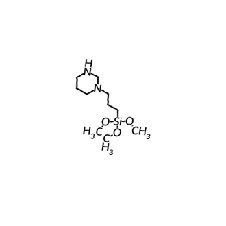 CO[Si](CCCN1CCCNC1)(OC)OC